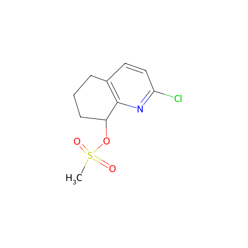 CS(=O)(=O)OC1CCCc2ccc(Cl)nc21